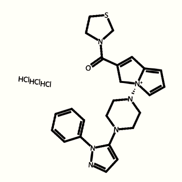 Cl.Cl.Cl.O=C(C1=CC2=CC=C[N@@+]2(N2CCN(c3ccnn3-c3ccccc3)CC2)C1)N1CCSC1